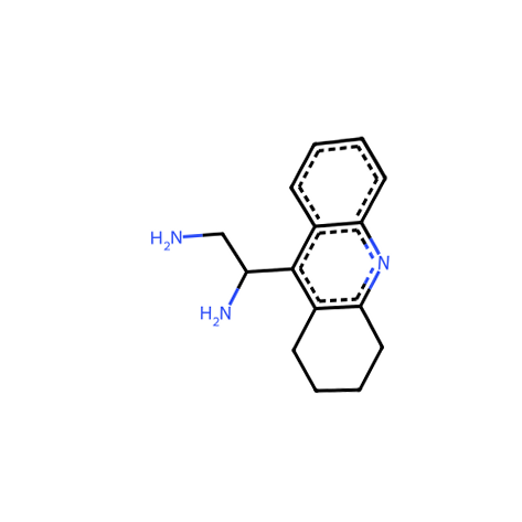 NCC(N)c1c2c(nc3ccccc13)CCCC2